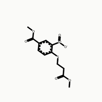 COC(=O)CCSc1ccc(C(=O)OC)cc1[N+](=O)[O-]